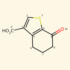 O=C(O)c1csc2c1CCCC2=O